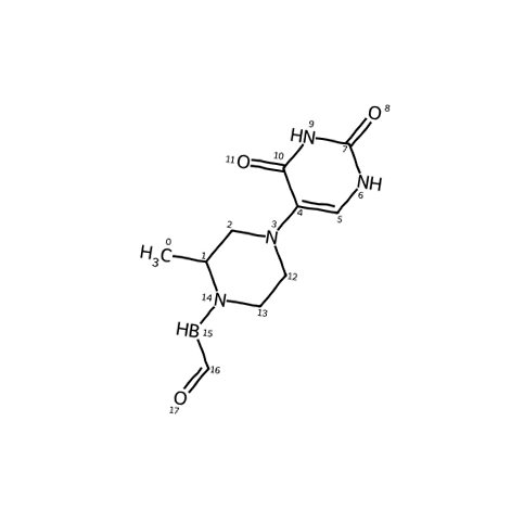 CC1CN(c2c[nH]c(=O)[nH]c2=O)CCN1BC=O